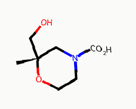 C[C@@]1(CO)CN(C(=O)O)CCO1